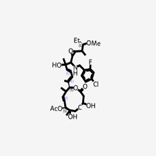 CC[C@H](OC)C(C)C1OC1C(NCc1ccc(Cl)cc1F)C(C)(O)/C=C/C=C(\C)[C@H]1OC(=O)CC(O)CCC(C)(O)[C@@H](OC(C)=O)/C=C/C1C